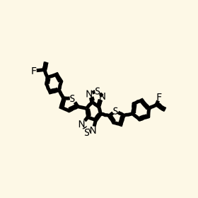 C=C(F)c1ccc(-c2ccc(-c3c4c(c(-c5ccc(-c6ccc(C(=C)F)cc6)s5)c5nsnc35)N=S=N4)s2)cc1